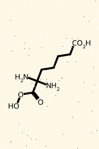 NC(N)(CCCCC(=O)O)C(=O)OO